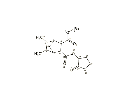 CCC(C)OC(=O)C1C2CC(C(C)C2C)C1C(=O)OC1CCOC1=O